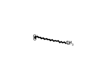 CCCCCCCCCCCC=CC=CC=CC=CC=CC(=O)[O-].[Li+]